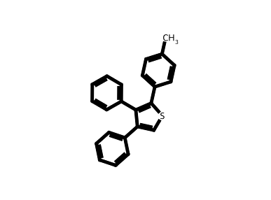 Cc1ccc(-c2scc(-c3ccccc3)c2-c2ccccc2)cc1